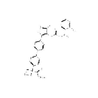 COC(=O)C1(c2ccc(-c3ccc(-c4onc(C)c4NC(=O)O[C@H](C)c4ccccc4Cl)cc3)cc2)CNC1